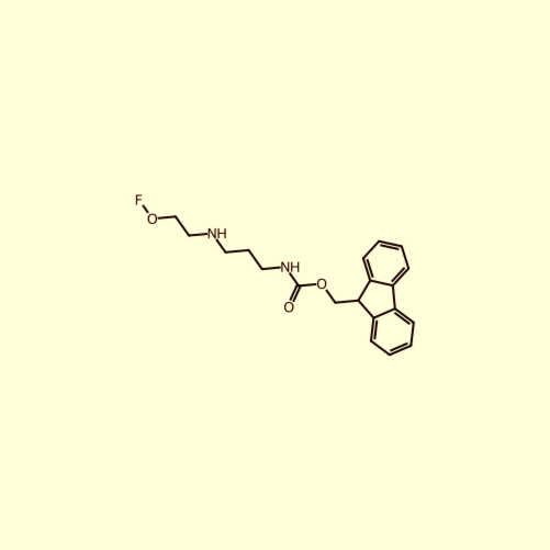 O=C(NCCCNCCOF)OCC1c2ccccc2-c2ccccc21